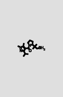 BCC(C)(C)C1CCCN1C(=O)c1c(C(C)C)nn(C)c1C